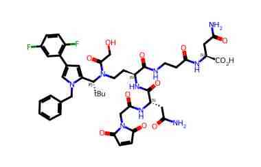 CC(C)(C)[C@H](c1cc(-c2cc(F)ccc2F)cn1Cc1ccccc1)N(CC[C@H](NC(=O)[C@H](CC(N)=O)NC(=O)CN1C(=O)C=CC1=O)C(=O)NCCC(=O)N[C@@H](CC(N)=O)C(=O)O)C(=O)CO